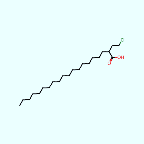 CCCCCCCCCCCCCCCCCCC(CCCl)C(=O)O